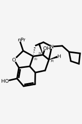 CCCC1OC2=C(O)C=CC3C[C@H]4N(CC5CCC5)CC[C@@]1(C23)[C@]4(C)O